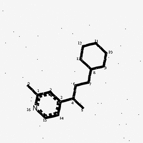 Cc1cc(C(C)CCC2CCCCC2)ccn1